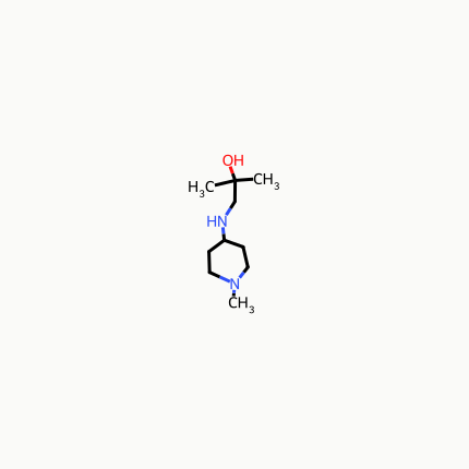 CN1CCC(NCC(C)(C)O)CC1